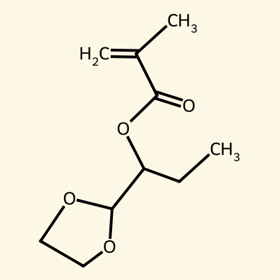 C=C(C)C(=O)OC(CC)C1OCCO1